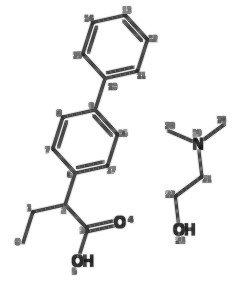 CCC(C(=O)O)c1ccc(-c2ccccc2)cc1.CN(C)CCO